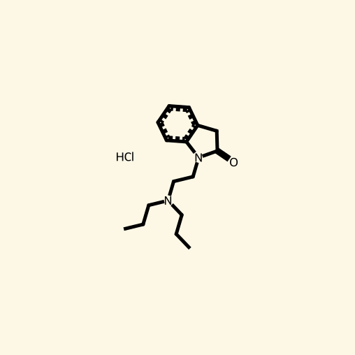 CCCN(CCC)CCN1C(=O)Cc2ccccc21.Cl